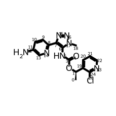 C[C@@H](OC(=O)Nc1c(-c2ccc(N)cn2)nnn1C)c1cccnc1Cl